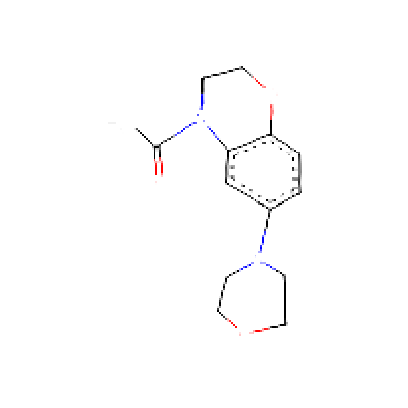 CC(=O)N1CCOc2ccc(N3CCOCC3)cc21